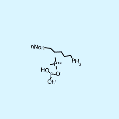 CCCCCCCCCCCCCCP.C[P+](C)(C)C.[O-]P(O)O